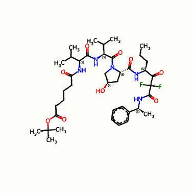 CCC[C@H](NC(=O)[C@@H]1C[C@@H](O)CN1C(=O)[C@@H](NC(=O)[C@@H](NC(=O)CCCCC(=O)OC(C)(C)C)C(C)C)C(C)C)C(=O)C(F)(F)C(=O)N[C@@H](C)c1ccccc1